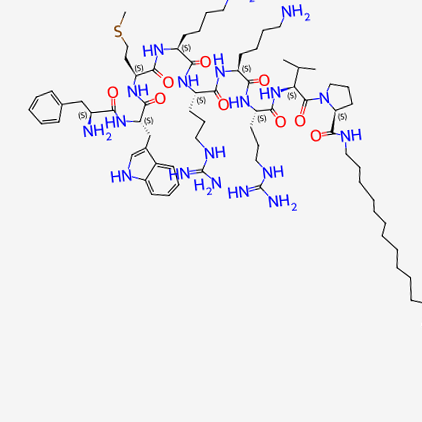 CCCCCCCCCCCCCCCCNC(=O)[C@@H]1CCCN1C(=O)[C@@H](NC(=O)[C@H](CCCNC(=N)N)NC(=O)[C@H](CCCCN)NC(=O)[C@H](CCCNC(=N)N)NC(=O)[C@H](CCCCN)NC(=O)[C@H](CCSC)NC(=O)[C@H](Cc1c[nH]c2ccccc12)NC(=O)[C@@H](N)Cc1ccccc1)C(C)C